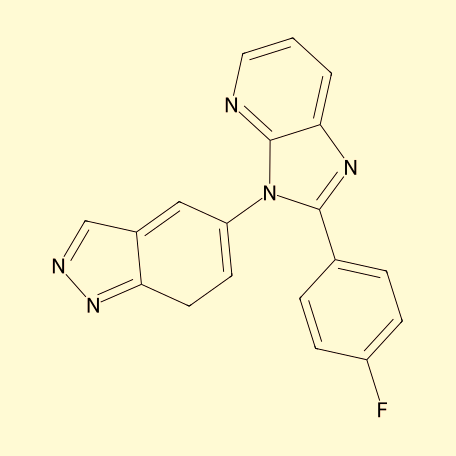 Fc1ccc(-c2nc3cccnc3n2C2=CCC3=NN=CC3=C2)cc1